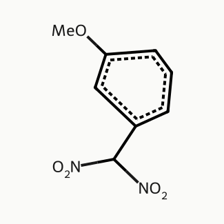 COc1cccc(C([N+](=O)[O-])[N+](=O)[O-])c1